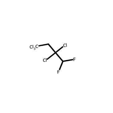 F[C](F)C(Cl)(Cl)CC(Cl)(Cl)Cl